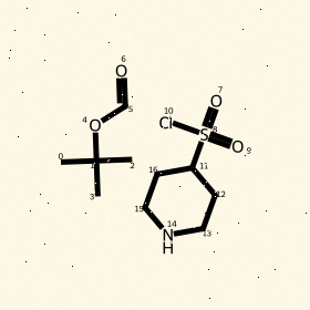 CC(C)(C)OC=O.O=S(=O)(Cl)C1CCNCC1